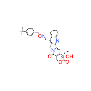 CC[C@@]1(O)C(=O)OCc2c1cc1n(c2=O)Cc2c-1nc1ccccc1c2C=NOCc1ccc(C(C)(C)C)cc1